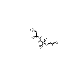 C=CCOP(=O)(O)OOC(=O)C=C